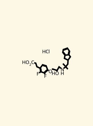 CC(C)(CC1Cc2ccccc2C1)NCC(O)COc1ccc(CCC(=O)O)c(F)c1F.Cl